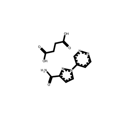 NC(=O)c1ccn(-c2ccnnc2)n1.O=C(O)CCC(=O)O